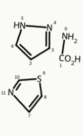 NC(=O)O.c1cn[nH]c1.c1cscn1